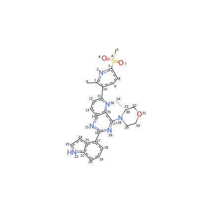 Cc1nc(S(C)(=O)=O)ccc1-c1ccc2nc(-c3cccc4[nH]ccc34)nc(N3CCOC[C@H]3C)c2n1